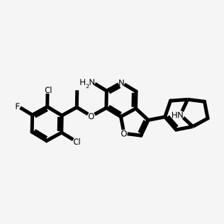 CC(Oc1c(N)ncc2c(C3=CC4CCC(C3)N4)coc12)c1c(Cl)ccc(F)c1Cl